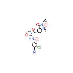 CCn1c(=O)n(CC2CC2)c(=O)c2cc(CC(=O)N3CCOCC3CNC(=O)c3ccc(C#N)c(Cl)c3)ccc21